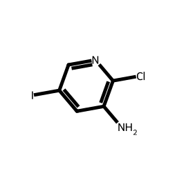 Nc1cc(I)cnc1Cl